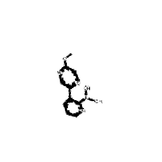 COc1cnc(-c2cccnc2B(O)O)cn1